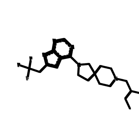 CCC(C)CN1CCC2(CC1)CCN(c1ncnc3sc(CC(F)(F)F)cc13)C2